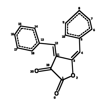 O=C1OC(=Cc2ccccc2)C(=Cc2ccccc2)C1=O